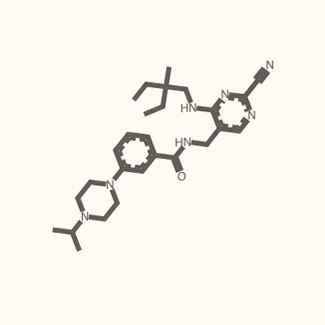 CCC(C)(CC)CNc1nc(C#N)ncc1CNC(=O)c1cccc(N2CCN(C(C)C)CC2)c1